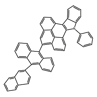 c1ccc(-n2c3ccccc3c3c4cccc5cc(-c6c7ccccc7c(-c7ccc8ccccc8c7)c7ccccc67)c6cccc(c6c54)c32)cc1